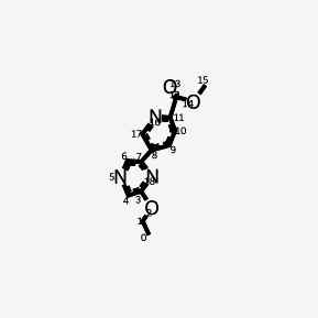 CCOc1cncc(-c2ccc(C(=O)OC)nc2)n1